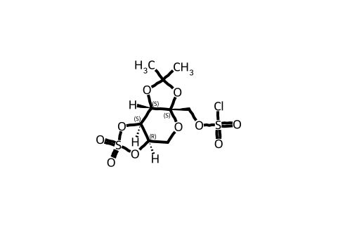 CC1(C)O[C@H]2[C@@H]3OS(=O)(=O)O[C@@H]3CO[C@@]2(COS(=O)(=O)Cl)O1